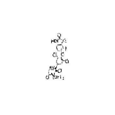 Nn1c(=O)cnn(-c2cc(Cl)c(Oc3ccc4c(c3F)C3(CC3)C(=O)N4)c(Cl)c2)c1=O